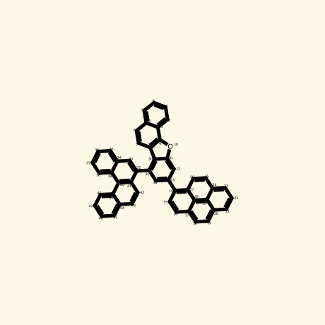 c1ccc2c(c1)ccc1c2oc2cc(-c3ccc4ccc5cccc6ccc3c4c56)cc(-c3cc4ccccc4c4c3ccc3ccccc34)c21